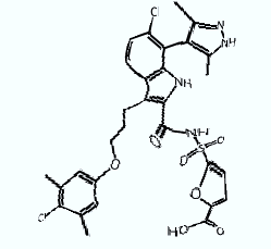 Cc1cc(OCCCc2c(C(=O)NS(=O)(=O)c3ccc(C(=O)O)o3)[nH]c3c(-c4c(C)n[nH]c4C)c(Cl)ccc23)cc(C)c1Cl